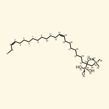 CC/C=C\CCCCCCCCC/C=C\CCCCCCCC(O)(C[N+](C)(C)C)P(=O)(O)O